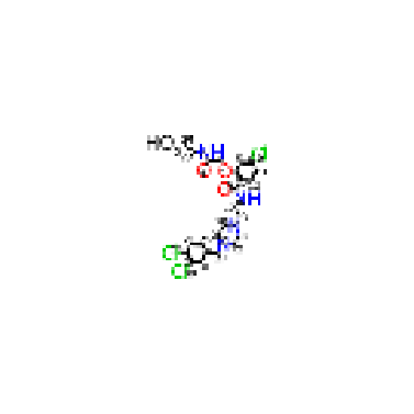 CC(NC(=O)COc1cc(Cl)ccc1C(=O)NCCN1CCN(Cc2ccc(Cl)c(Cl)c2)CC1)C(=O)O